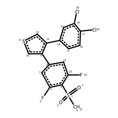 CS(=O)(=O)c1c(F)cc(-c2cscc2-c2ccc(Cl)c(Cl)c2)cc1F